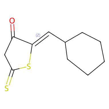 O=C1CC(=S)S/C1=C\C1CCCCC1